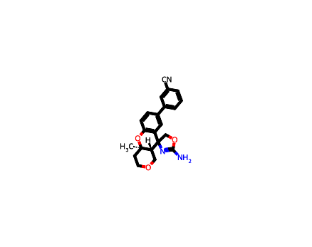 C[C@@]12CCOC[C@H]1C1(COC(N)=N1)c1cc(-c3cccc(C#N)c3)ccc1O2